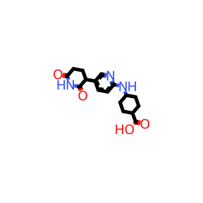 O=C1CCC(c2ccc(NC3CCC(C(=O)O)CC3)nc2)C(=O)N1